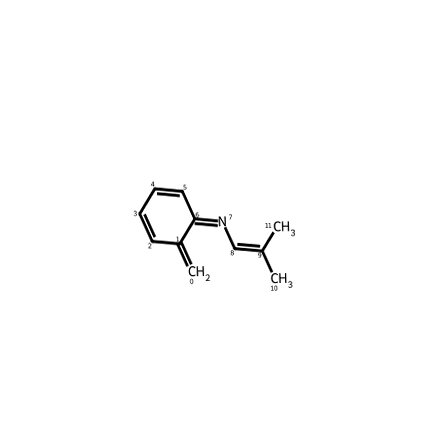 C=C1C=CC=C/C1=N/C=C(C)C